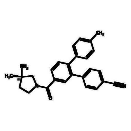 Cc1ccc(-c2ccc(C(=O)N3CC[C@](C)(N)C3)cc2-c2ccc(C#N)cc2)cc1